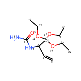 C=CC(NC(N)=O)[Si](OCC)(OCC)OCC